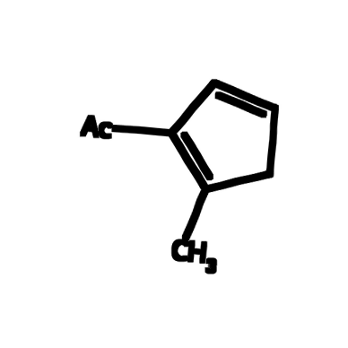 CC(=O)C1=C(C)CC=C1